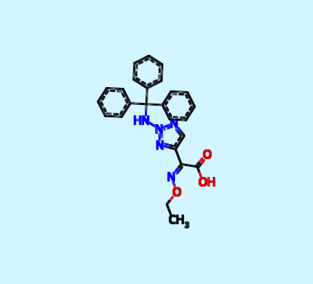 CCON=C(C(=O)O)c1cnn(NC(c2ccccc2)(c2ccccc2)c2ccccc2)n1